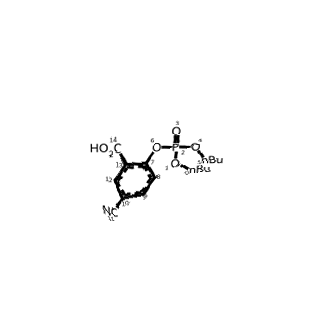 CCCCOP(=O)(OCCCC)Oc1ccc(C#N)cc1C(=O)O